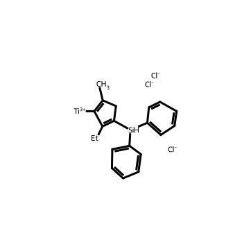 CCC1=C([SiH](c2ccccc2)c2ccccc2)CC(C)=[C]1[Ti+3].[Cl-].[Cl-].[Cl-]